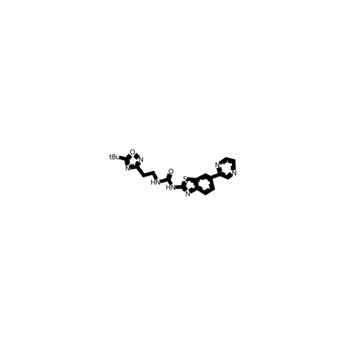 CC(C)(C)c1nc(CCNC(=O)Nc2nc3ccc(-c4cnccn4)cc3s2)no1